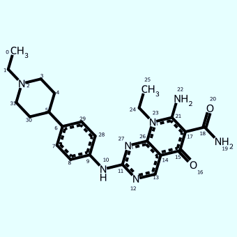 CCN1CCC(c2ccc(Nc3ncc4c(=O)c(C(N)=O)c(N)n(CC)c4n3)cc2)CC1